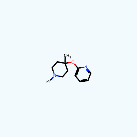 CC(C)N1CCC(C)(Oc2ccccn2)CC1